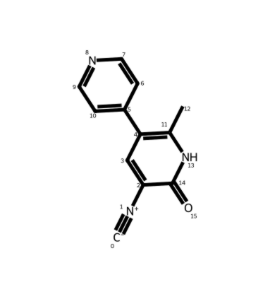 [C-]#[N+]c1cc(-c2ccncc2)c(C)[nH]c1=O